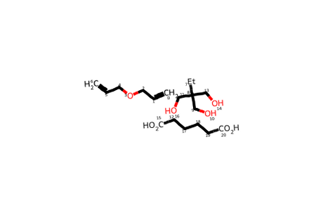 C=CCOCC=C.CCC(CO)(CO)CO.O=C(O)CCCCC(=O)O